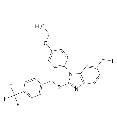 CCOc1ccc(-n2c(SCc3ccc(C(F)(F)F)cc3)nc3ccc(CI)cc32)cc1